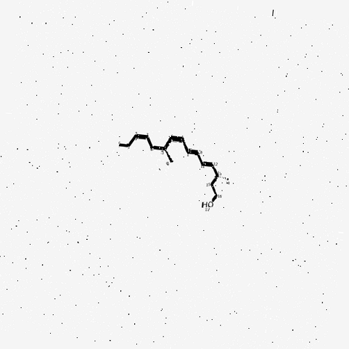 CC/C=C\C[C@H](C)\C=C/C=C/C=C/[C@H](C)CCO